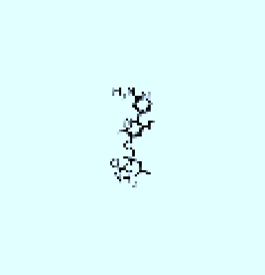 Cc1nc(-c2ccnc(N)c2)c(F)cc1OCC(C)(CC(C)C)OC(N)=O